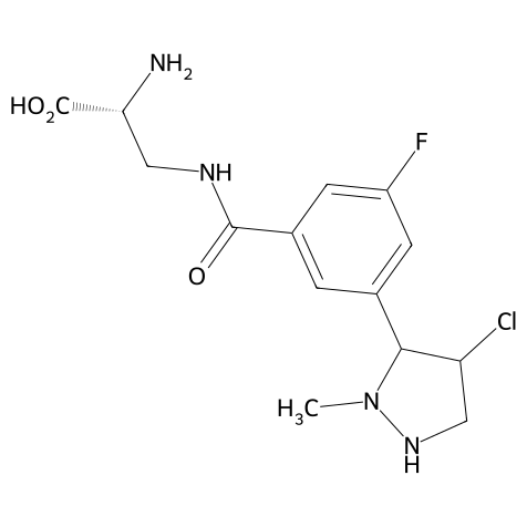 CN1NCC(Cl)C1c1cc(F)cc(C(=O)NC[C@@H](N)C(=O)O)c1